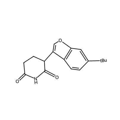 CC(C)(C)c1ccc2c(C3CCC(=O)NC3=O)coc2c1